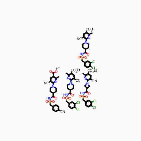 CCOC(=O)c1cc(C#N)c(N2CC(C(=O)NS(=O)(=O)Cc3ccc(Cl)c(Cl)c3)C2)nc1C.CCOC(=O)c1cc(C#N)c(N2CCC(C(=O)NS(=O)(=O)Cc3ccc(Cl)c(Cl)c3)CC2)nc1C.Cc1nc(N2CCC(C(=O)NS(=O)(=O)Cc3ccc(C#N)cc3)CC2)c(C#N)cc1C(=O)OC(C)C.Cc1nc(N2CCC(C(=O)NS(=O)(=O)Cc3ccc(Cl)c(Cl)c3)CC2)c(C#N)cc1C(=O)O